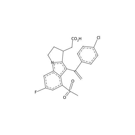 C=C(c1ccc(Cl)cc1)c1c2n(c3cc(F)cc(S(C)(=O)=O)c13)CCC2CC(=O)O